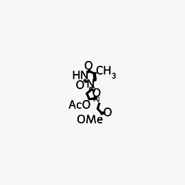 COC(=O)CC[C@H]1O[C@@H](n2cc(C)c(=O)[nH]c2=O)CC1OC(C)=O